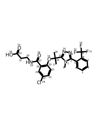 Cn1c(-c2ccccc2C(F)(F)F)nnc1C(C)(C)Oc1ccc(Cl)cc1C(=O)NCCC(=O)O